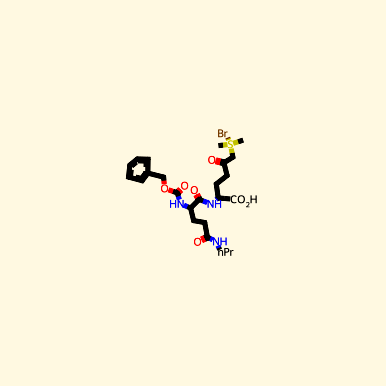 CCCNC(=O)CCC(NC(=O)OCc1ccccc1)C(=O)NC(CCC(=O)CS(C)(C)Br)C(=O)O